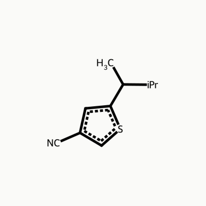 CC(C)C(C)c1cc(C#N)cs1